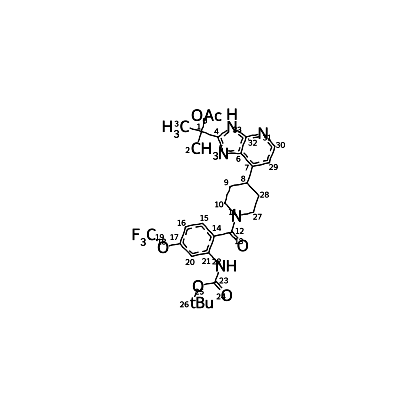 CC(=O)OC(C)(C)c1nc2c(C3CCN(C(=O)c4ccc(OC(F)(F)F)cc4NC(=O)OC(C)(C)C)CC3)ccnc2[nH]1